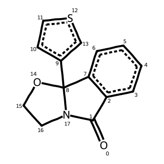 O=C1c2ccccc2C2(c3ccsc3)OCCN12